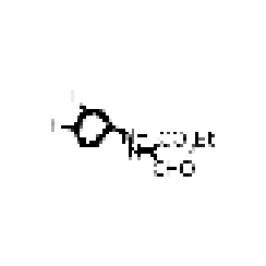 CCOC(=O)/C(C=O)=N\Nc1ccc(F)c(F)c1